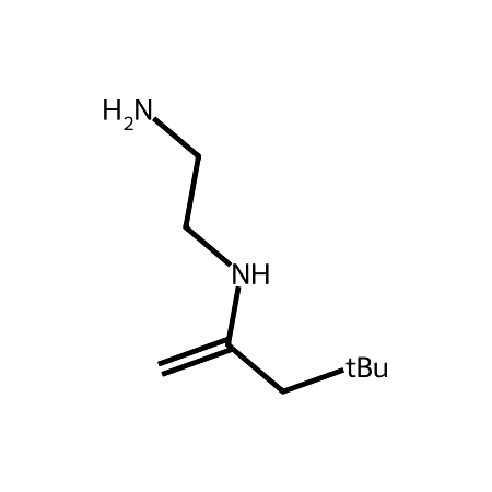 C=C(CC(C)(C)C)NCCN